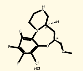 COC[C@@H]1C[C@@H]2CNCCN2c2c(F)c(F)c(F)c(Cl)c2O1.Cl